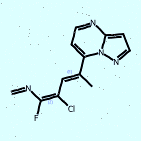 C=N/C(F)=C(Cl)\C=C(/C)c1ccnc2ccnn12